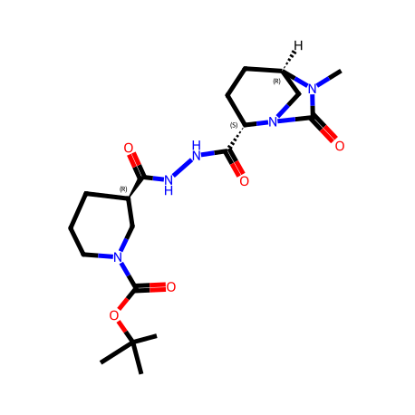 CN1C(=O)N2C[C@H]1CC[C@H]2C(=O)NNC(=O)[C@@H]1CCCN(C(=O)OC(C)(C)C)C1